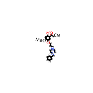 COc1ccc(C(O)CC#N)cc1OCCCN1CCN(Cc2ccccc2)CC1